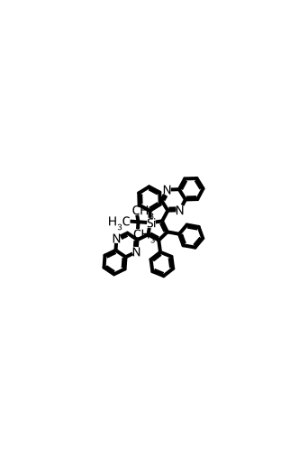 CC(C)(C)[Si]1(c2ccccc2)C(c2cnc3ccccc3n2)=C(c2ccccc2)C(c2ccccc2)=C1c1cnc2ccccc2n1